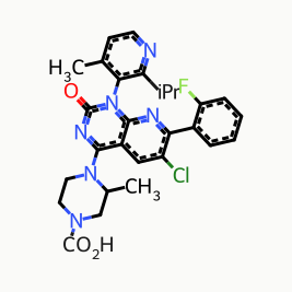 Cc1ccnc(C(C)C)c1-n1c(=O)nc(N2CCN(C(=O)O)CC2C)c2cc(Cl)c(-c3ccccc3F)nc21